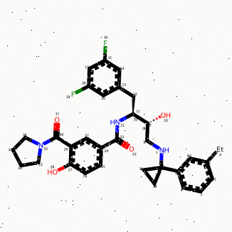 CCc1cccc(C2(NC[C@@H](O)[C@H](Cc3cc(F)cc(F)c3)NC(=O)c3ccc(O)c(C(=O)N4CCCC4)c3)CC2)c1